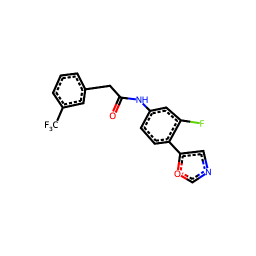 O=C(Cc1cccc(C(F)(F)F)c1)Nc1ccc(-c2cnco2)c(F)c1